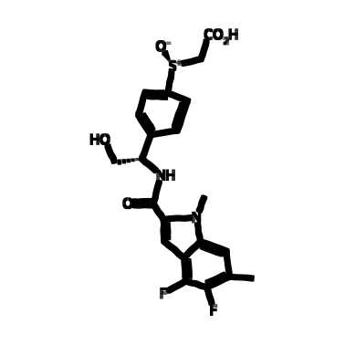 Cc1cc2c(cc(C(=O)N[C@H](CO)c3ccc([S@@+]([O-])CC(=O)O)cc3)n2C)c(F)c1F